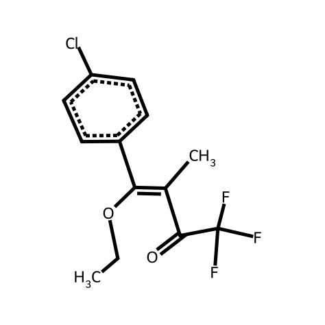 CCO/C(=C(/C)C(=O)C(F)(F)F)c1ccc(Cl)cc1